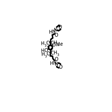 COc1cc(C(C)(C)CCCC(=O)NN2CCOCC2)c(O)cc1C(C)(C)CCCC(=O)NN1CCOCC1